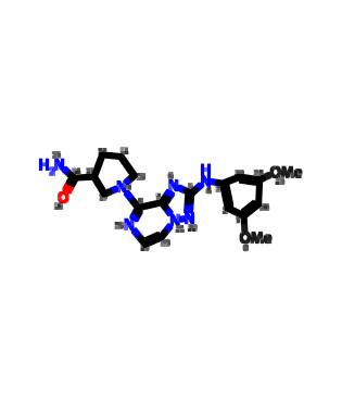 COc1cc(Nc2nc3c(N4CCCC(C(N)=O)C4)nccn3n2)cc(OC)c1